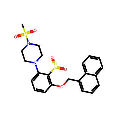 CS(=O)(=O)N1CCN(c2cccc(OCc3cccc4ccccc34)c2[SH](=O)=O)CC1